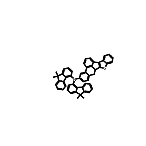 CC1(C)c2ccccc2-c2c(N(c3ccc4c(c3)-c3cccc5c3C(C4)c3sc4ccccc4c3-5)c3cccc4c3-c3ccccc3C4(C)C)cccc21